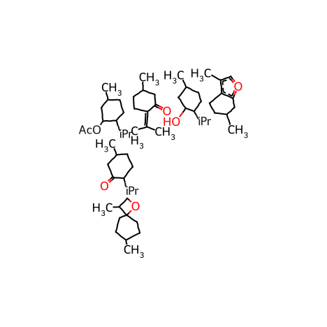 CC(=O)OC1CC(C)CCC1C(C)C.CC(C)=C1CCC(C)CC1=O.CC1CCC(C(C)C)C(=O)C1.CC1CCC(C(C)C)C(O)C1.CC1CCC2(CC1)OCC2C.Cc1coc2c1CCC(C)C2